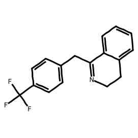 FC(F)(F)c1ccc(CC2=NCCc3ccccc32)cc1